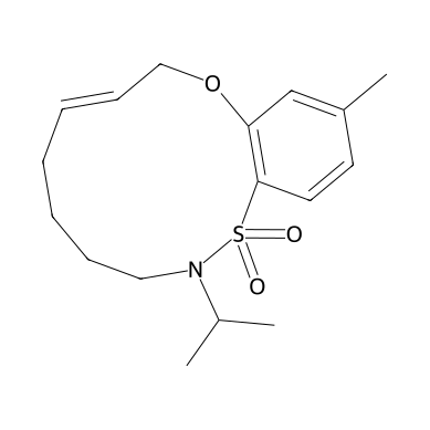 Cc1ccc2c(c1)OC/C=C/CCCCN(C(C)C)S2(=O)=O